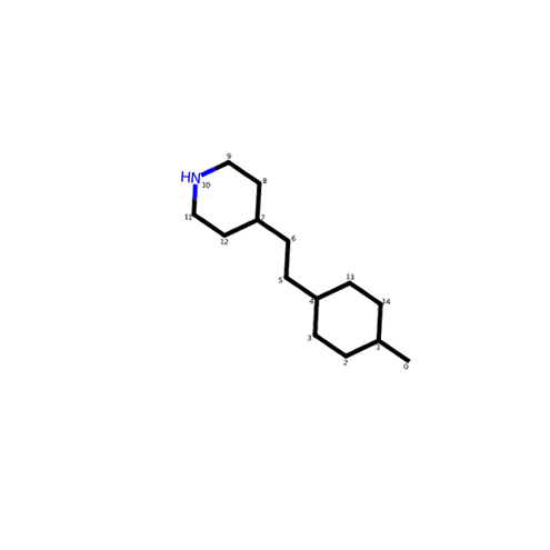 CC1CCC(CCC2CCNCC2)CC1